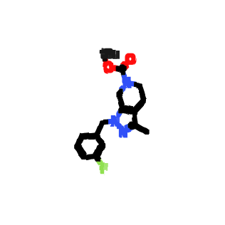 Cc1nn(Cc2cccc(F)c2)c2c1CCN(C(=O)OC(C)(C)C)C2